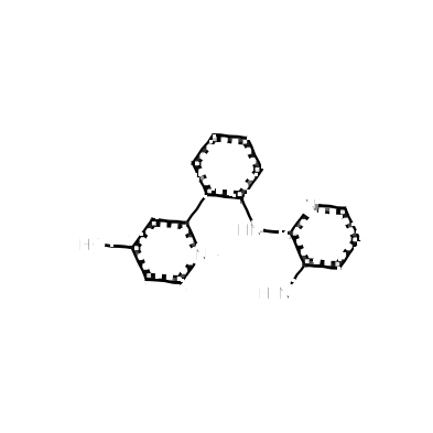 Nc1cccnc1Nc1ccccc1-c1cc(C=O)ccn1